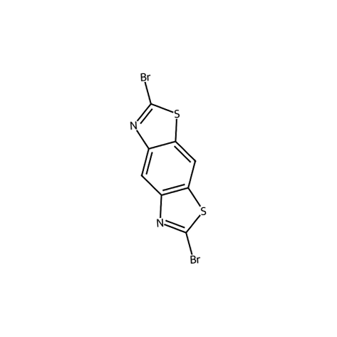 Brc1nc2cc3nc(Br)sc3cc2s1